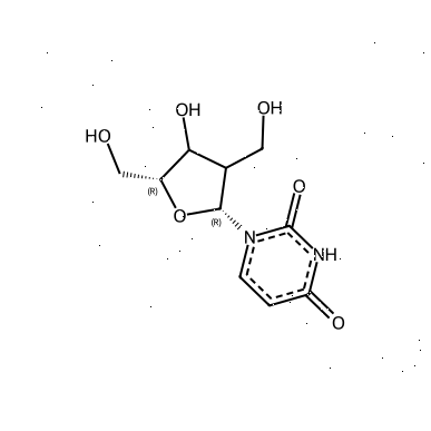 O=c1ccn([C@@H]2O[C@H](CO)C(O)C2CO)c(=O)[nH]1